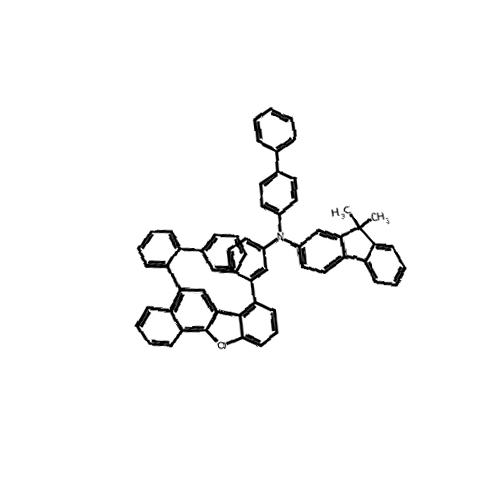 CC1(C)c2ccccc2-c2ccc(N(c3ccc(-c4ccccc4)cc3)c3cccc(-c4cccc5oc6c7ccccc7c(-c7ccccc7-c7ccccc7)cc6c45)c3)cc21